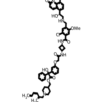 C=C/C=C\C(=C)CN1CCC(COC(=O)C(O)(c2ccccc2)c2cccc(OCC(=O)N[C@H]3C[C@H](NC(=O)c4cc(OC)c(CNC[C@H](O)c5ccc(O)c6[nH]c(=O)ccc56)cc4Cl)C3)c2)CC1